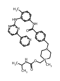 Cc1ccc(NC(=O)c2ccc(CN3CC[N+](C)(COC(=O)NC(C)C)CC3)cc2)cc1Nc1nccc(-c2cccnc2)n1